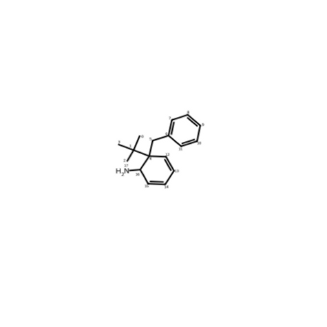 CC(C)(C)C1(Cc2ccccc2)C=CC=CC1N